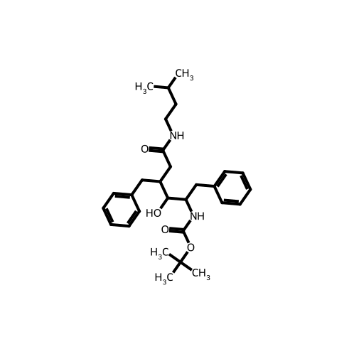 CC(C)CCNC(=O)CC(Cc1ccccc1)C(O)C(Cc1ccccc1)NC(=O)OC(C)(C)C